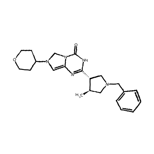 C[C@@H]1CN(Cc2ccccc2)C[C@H]1C1=NC2=CN(C3CCOCC3)CN2C(=O)N1